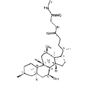 CC(C)NC(=O)CNC(=O)CC[C@H](C)[C@@H]1CC[C@@H]2[C@@H]3[C@@H](C[C@@H](O)[C@]21C)[C@]1(C)CC[C@H](C)C[C@@H]1C[C@@H]3O